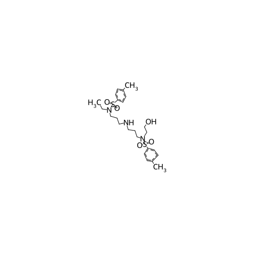 CCN(CCCNCCCN(CCO)S(=O)(=O)c1ccc(C)cc1)S(=O)(=O)c1ccc(C)cc1